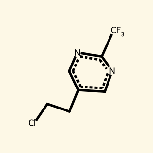 FC(F)(F)c1ncc(CCCl)cn1